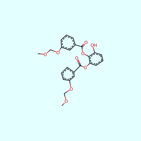 COCOc1cccc(C(=O)Oc2cccc(O)c2OC(=O)c2cccc(OCOC)c2)c1